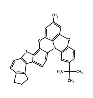 Cc1cc2c3c(c1)Oc1c(ccc4c1sc1ccc5c(c14)CCC5)B3c1cc(C(C)(C)C)ccc1O2